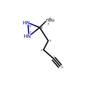 C#CCCC1(CCCC)NN1